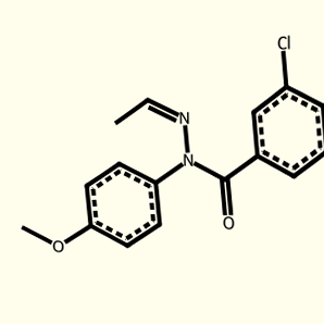 C/C=N\N(C(=O)c1cccc(Cl)c1)c1ccc(OC)cc1